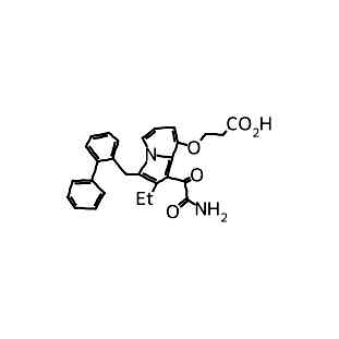 CCc1c(C(=O)C(N)=O)c2c(OCCC(=O)O)cccn2c1Cc1ccccc1-c1ccccc1